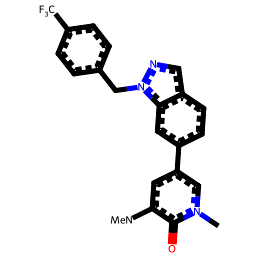 CNc1cc(-c2ccc3cnn(Cc4ccc(C(F)(F)F)cc4)c3c2)cn(C)c1=O